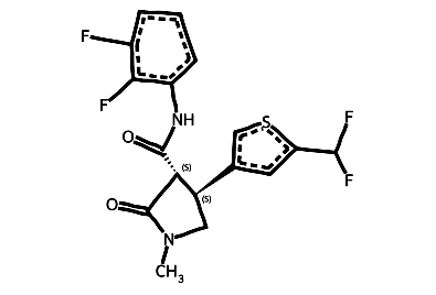 CN1C[C@H](c2csc(C(F)F)c2)[C@@H](C(=O)Nc2cccc(F)c2F)C1=O